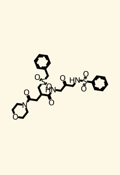 O=C(CNC(=O)C(CC(=O)N1CCOCC1)CS(=O)(=O)Cc1ccccc1)CNS(=O)(=O)c1ccccc1